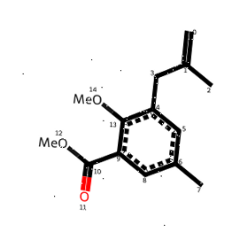 C=C(C)Cc1cc(C)cc(C(=O)OC)c1OC